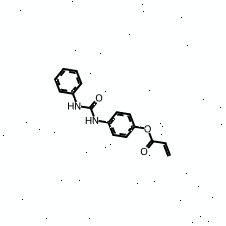 C=CC(=O)Oc1ccc(NC(=O)Nc2ccccc2)cc1